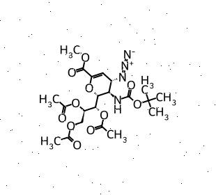 COC(=O)C1=C[C@H](N=[N+]=[N-])[C@@H](NC(=O)OC(C)(C)C)[C@H]([C@H](OC(C)=O)[C@@H](COC(C)=O)OC(C)=O)O1